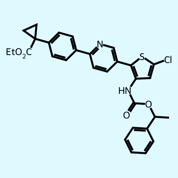 CCOC(=O)C1(c2ccc(-c3ccc(-c4sc(Cl)cc4NC(=O)OC(C)c4ccccc4)cn3)cc2)CC1